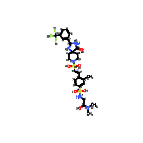 Cc1cc(S(=O)(=O)NCC(=O)N(C)C)ccc1/C=C/S(=O)(=O)N1CCC2(CC1)N=C(c1cccc(C(F)(F)F)c1)NC2=O